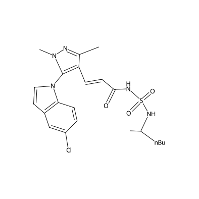 CCCCC(C)NS(=O)(=O)NC(=O)/C=C/c1c(C)nn(C)c1-n1ccc2cc(Cl)ccc21